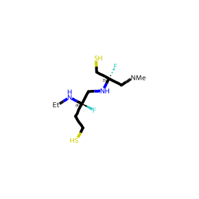 CCN[C@@](F)(CCS)CN[C@@](F)(CS)CNC